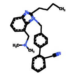 CCCCc1nc2cccc(CN(C)C)c2n1Cc1ccc(-c2ccccc2C#N)cc1